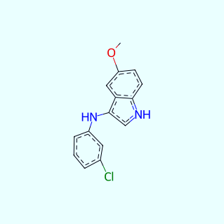 COc1ccc2[nH]cc(Nc3cccc(Cl)c3)c2c1